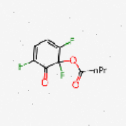 CCCC(=O)OC1(F)C(=O)C(F)=CC=C1F